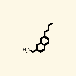 CCCCc1ccc2ccc(CN)cc2c1